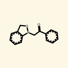 O=C(CN1OCc2ccccc21)c1ccccc1